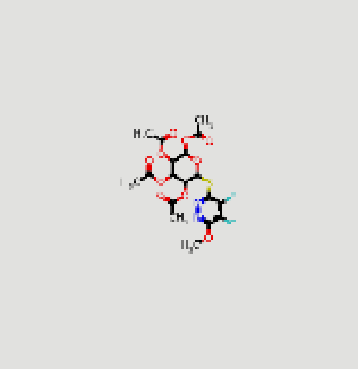 COc1nnc(SC2OC(OC(C)=O)C(OC(C)=O)C(OC(C)=O)C2OC(C)=O)c(F)c1F